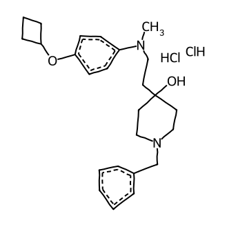 CN(CCC1(O)CCN(Cc2ccccc2)CC1)c1ccc(OC2CCC2)cc1.Cl.Cl